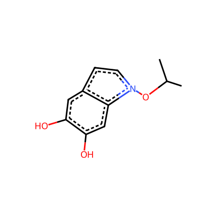 CC(C)On1ccc2cc(O)c(O)cc21